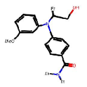 CCC(CO)N(c1ccc(C(=O)N(CC)CC)cc1)c1cccc(OC)c1